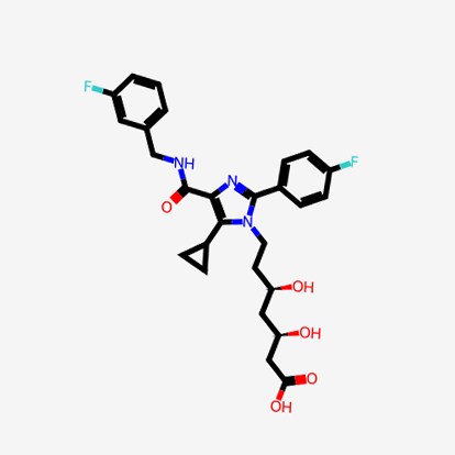 O=C(O)C[C@H](O)C[C@H](O)CCn1c(-c2ccc(F)cc2)nc(C(=O)NCc2cccc(F)c2)c1C1CC1